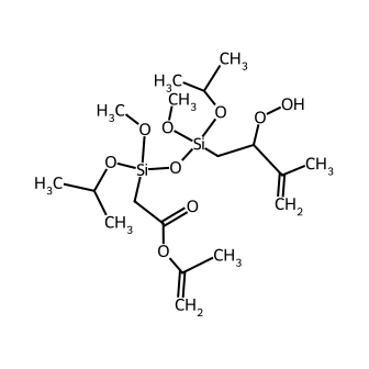 C=C(C)OC(=O)C[Si](OC)(OC(C)C)O[Si](CC(OO)C(=C)C)(OC)OC(C)C